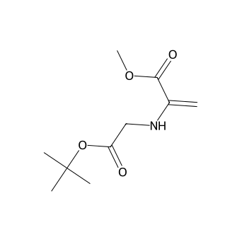 C=C(NCC(=O)OC(C)(C)C)C(=O)OC